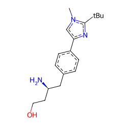 Cn1cc(-c2ccc(C[C@H](N)CCO)cc2)nc1C(C)(C)C